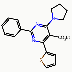 CCOC(=O)c1c(-c2cccs2)nc(-c2ccccc2)nc1N1CCCC1